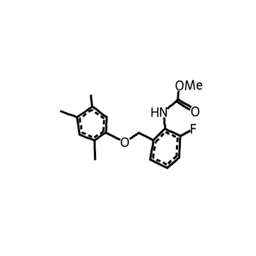 COC(=O)Nc1c(F)cccc1COc1cc(C)c(C)cc1C